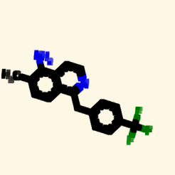 Cc1ccc2c(Cc3ccc(C(F)(F)F)cc3)nccc2c1N